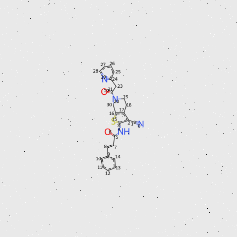 N#Cc1c(NC(=O)C=Cc2ccccc2)sc2c1CCN(C(=O)Cc1ccccn1)C2